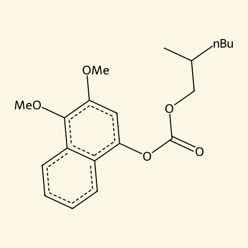 CCCCC(C)COC(=O)Oc1cc(OC)c(OC)c2ccccc12